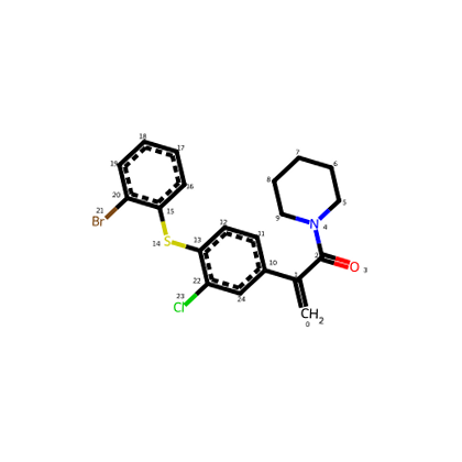 C=C(C(=O)N1CCCCC1)c1ccc(Sc2ccccc2Br)c(Cl)c1